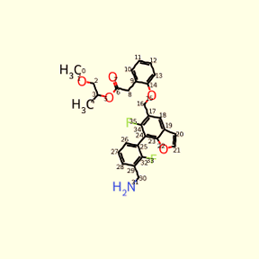 COCC(C)OC(=O)Cc1ccccc1OCc1cc2ccoc2c(-c2cccc(CN)c2F)c1F